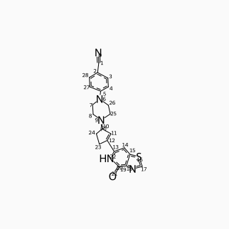 N#Cc1ccc(N2CCN([C@H]3C=C(c4cc5scnc5c(=O)[nH]4)CC3)CC2)cc1